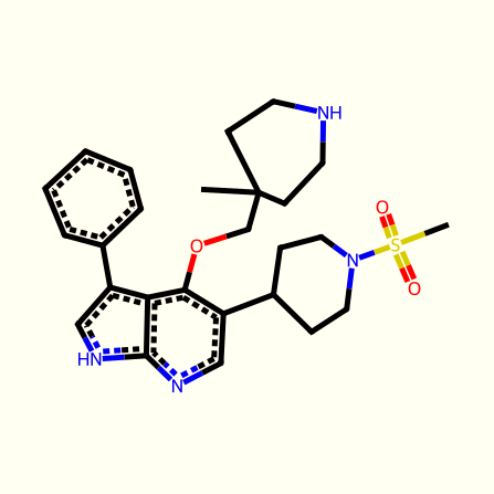 CC1(COc2c(C3CCN(S(C)(=O)=O)CC3)cnc3[nH]cc(-c4ccccc4)c23)CCNCC1